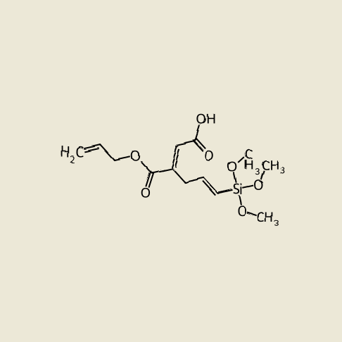 C=CCOC(=O)C(=CC(=O)O)CC=C[Si](OC)(OC)OC